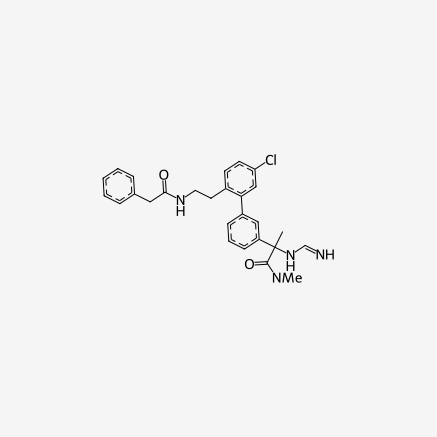 CNC(=O)C(C)(NC=N)c1cccc(-c2cc(Cl)ccc2CCNC(=O)Cc2ccccc2)c1